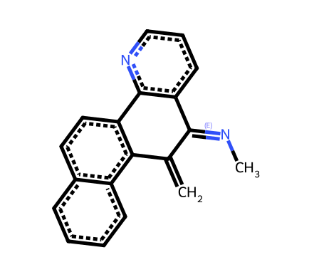 C=C1/C(=N\C)c2cccnc2-c2ccc3ccccc3c21